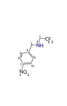 O=[N+]([O-])c1ccc(CNCC(F)(F)F)cc1